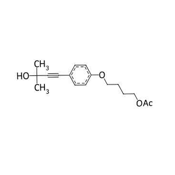 CC(=O)OCCCCOc1ccc(C#CC(C)(C)O)cc1